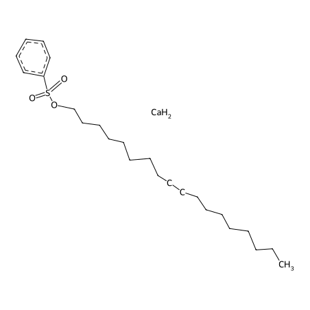 CCCCCCCCCCCCCCCCCCOS(=O)(=O)c1ccccc1.[CaH2]